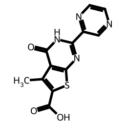 Cc1c(C(=O)O)sc2nc(-c3cnccn3)[nH]c(=O)c12